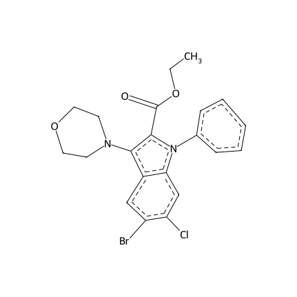 CCOC(=O)c1c(N2CCOCC2)c2cc(Br)c(Cl)cc2n1-c1ccccc1